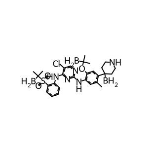 BC(C)(C)Oc1cc(C2(B)CCNCC2)c(C)cc1Nc1ncc(Cl)c(Nc2ccccc2S(=O)(=O)C(B)(C)C)n1